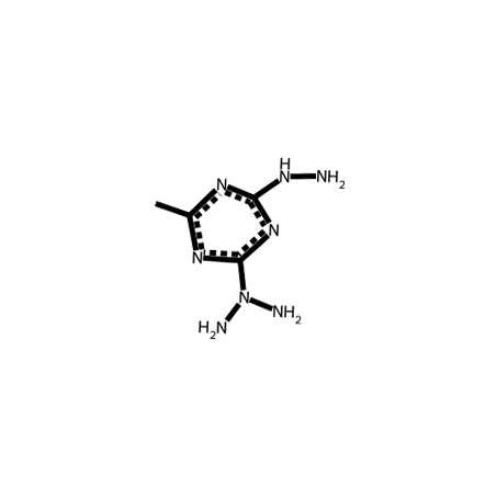 Cc1nc(NN)nc(N(N)N)n1